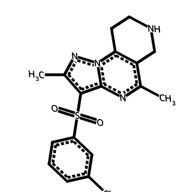 Cc1nc2c(S(=O)(=O)c3cccc(Cl)c3)c(C)nn2c2c1CNCC2